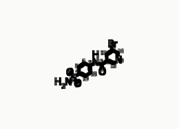 NS(=O)(=O)c1ccc(NC(=O)c2cncc(Br)c2)cc1